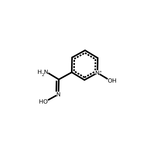 N/C(=N\O)c1ccc[n+](O)c1